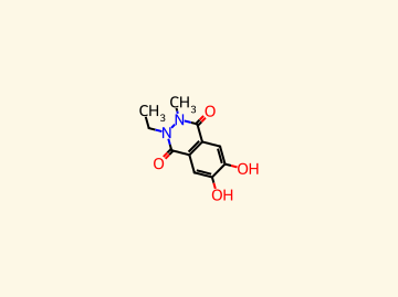 CCn1c(=O)c2cc(O)c(O)cc2c(=O)n1C